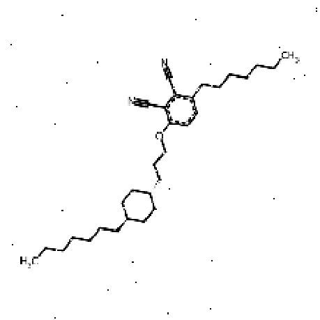 CCCCCCCc1ccc(OCCC[C@H]2CC[C@H](CCCCCCC)CC2)c(C#N)c1C#N